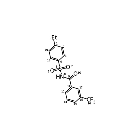 CCc1ccc(S(=O)(=O)NC(=O)c2cccc(C(F)(F)F)c2)cc1